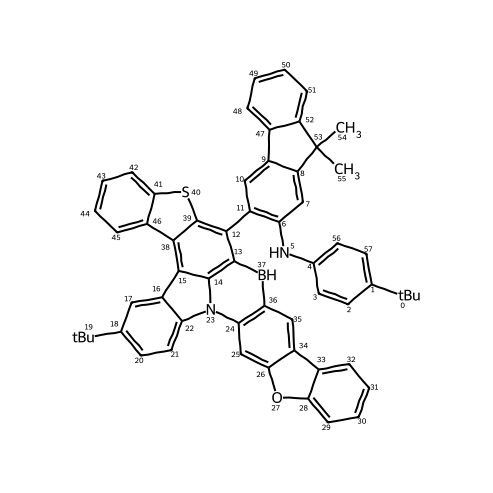 CC(C)(C)c1ccc(Nc2cc3c(cc2-c2c4c5c(c6cc(C(C)(C)C)ccc6n5-c5cc6oc7ccccc7c6cc5B4)c4c2sc2ccccc24)-c2ccccc2C3(C)C)cc1